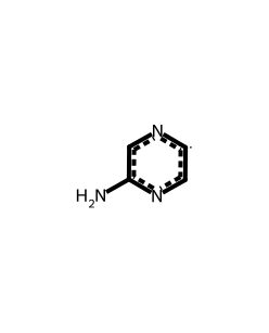 Nc1cn[c]cn1